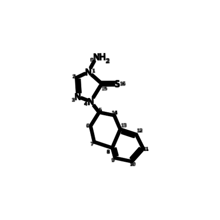 Nn1cnn(C2CCc3ccccc3C2)c1=S